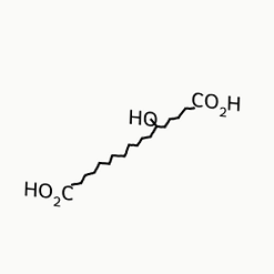 O=C(O)CCCCCCCCCCCCC(O)CCCCCC(=O)O